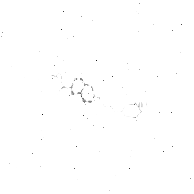 COC(=O)c1ccc2cc(OCCCC3CCCNC3)ccc2c1